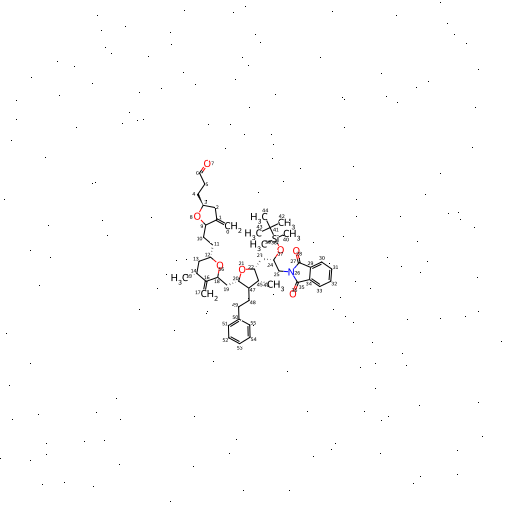 C=C1C[C@H](CCC=O)OC1CC[C@H]1C[C@@H](C)C(=C)C(C[C@@H]2O[C@H](C[C@@H](CN3C(=O)c4ccccc4C3=O)O[Si](C)(C)C(C)(C)C)[C@H](C)C2CCc2ccccc2)O1